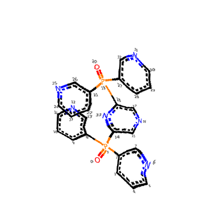 O=P(c1cccnc1)(c1cccnc1)c1cncc(P(=O)(c2cccnc2)c2cccnc2)n1